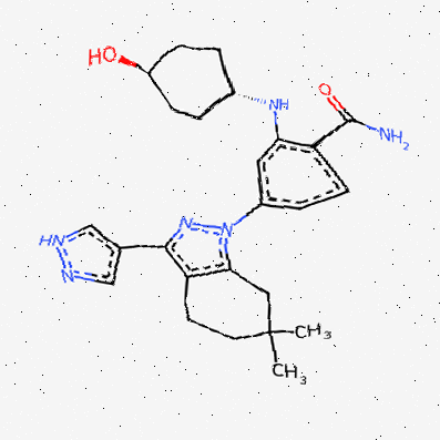 CC1(C)CCc2c(-c3cn[nH]c3)nn(-c3ccc(C(N)=O)c(N[C@H]4CC[C@H](O)CC4)c3)c2C1